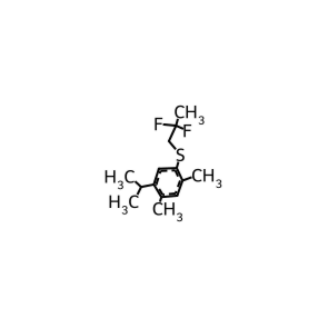 Cc1cc(C)c(C(C)C)cc1SCC(C)(F)F